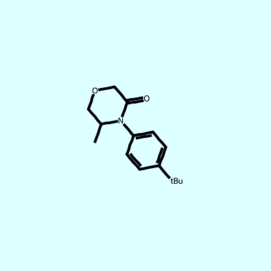 CC1COCC(=O)N1c1ccc(C(C)(C)C)cc1